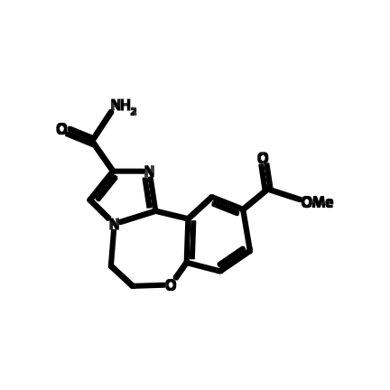 COC(=O)c1ccc2c(c1)-c1nc(C(N)=O)cn1CCO2